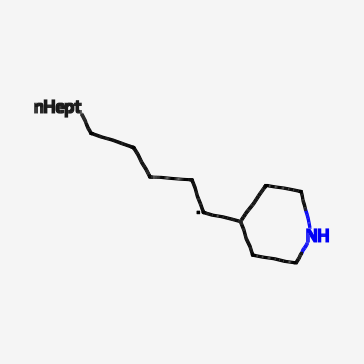 CCCCCCCCCCC[CH]C1CCNCC1